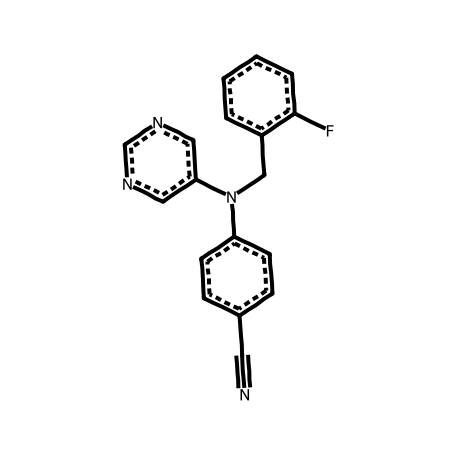 N#Cc1ccc(N(Cc2ccccc2F)c2cncnc2)cc1